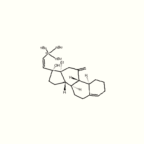 C=C1C[C@@]2(CC)[C@@H](CC[C@@]2(O)/C=[CH]\[Sn]([CH2]CCC)([CH2]CCC)[CH2]CCC)[C@@H]2CCC3=CCCC[C@@H]3[C@@H]12